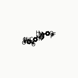 CC(=O)N1CCN(C(=O)c2ccc(Nc3nccn4c(-c5ccc(OC(F)F)cc5)cnc34)cc2C)CC1